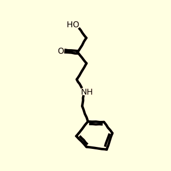 O=C(CO)CCNCc1ccccc1